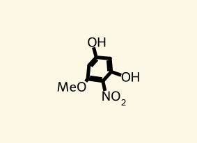 COc1cc(O)cc(O)c1[N+](=O)[O-]